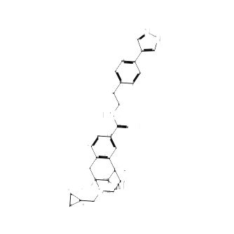 C=C(NCCc1ccc(-c2cn[nH]c2)cc1)c1ccc2c(c1)[C@@]1(C)CCN(CC3CC3)[C@H](C2)[C@@H]1C